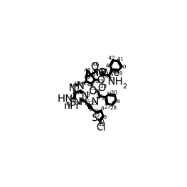 CCCNc1nc(C#Cc2ccc(Cl)s2)nc2c1ncn2C1C(OC(=O)C(N)c2ccccc2)C(OC(=O)C(N)c2ccccc2)C2(C(=O)NC)CC12